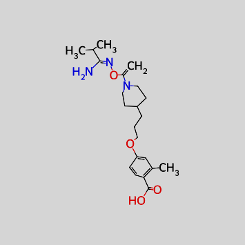 C=C(O/N=C(\N)C(C)C)N1CCC(CCCOc2ccc(C(=O)O)c(C)c2)CC1